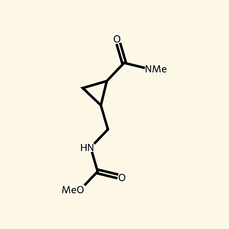 CNC(=O)C1CC1CNC(=O)OC